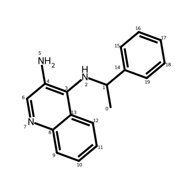 CC(Nc1c(N)cnc2ccccc12)c1ccccc1